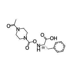 CC(=O)N1CCN(C(=O)ON[C@@H](Cc2ccccc2)C(=O)O)CC1